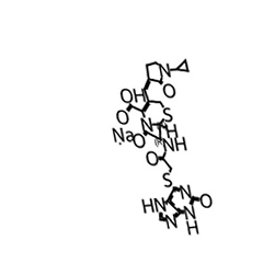 O=C(CSc1nc(=O)[nH]c2nc[nH]c12)N[C@@H]1C(=O)N2C(C(=O)O)=C(C=C3CCN(C4CC4)C3=O)CS[C@H]12.[Na]